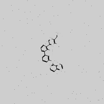 COc1nc(-c2cccc(-c3cccc(Nc4nccc5nccnc45)c3Cl)c2Cl)cnc1CN